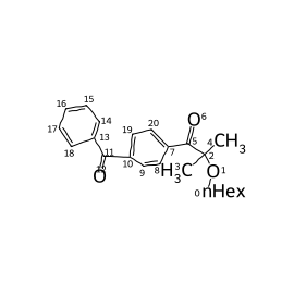 CCCCCCOC(C)(C)C(=O)c1ccc(C(=O)c2ccccc2)cc1